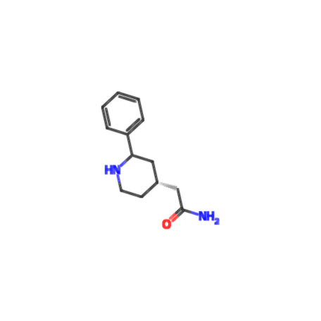 NC(=O)C[C@@H]1CCNC(c2ccccc2)C1